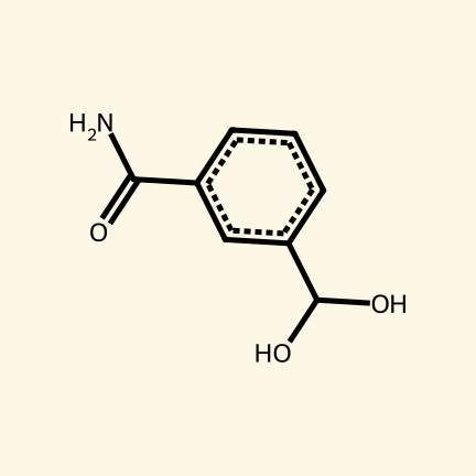 NC(=O)c1cccc(C(O)O)c1